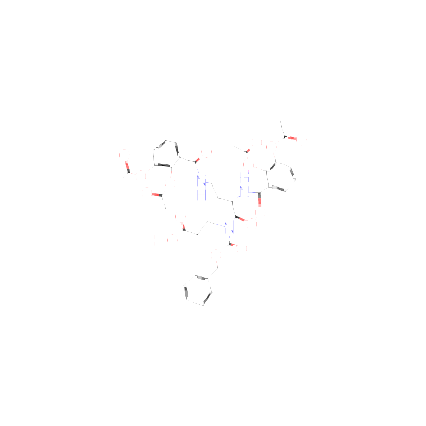 CC(=O)Oc1cccc(C(=O)NCCC(NC(=O)c2cccc(OC(C)=O)c2OC(C)=O)C(=O)N(CCC(=O)O)C(=O)OCc2ccccc2)c1OC(C)=O